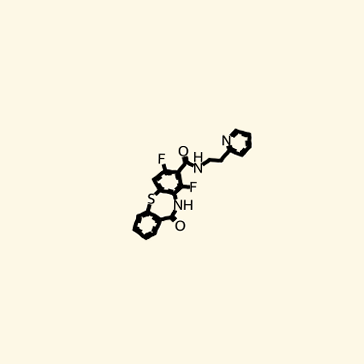 O=C1Nc2c(cc(F)c(C(=O)NCCc3ccccn3)c2F)Sc2ccccc21